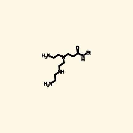 CCNC(=O)CCN(CCN)CCNCCN